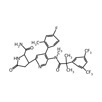 Cc1cc(F)ccc1-c1cc(C2CC(=O)NC2C(N)=O)ncc1N(C)C(=O)C(C)(C)c1cc(C(F)(F)F)cc(C(F)(F)F)c1